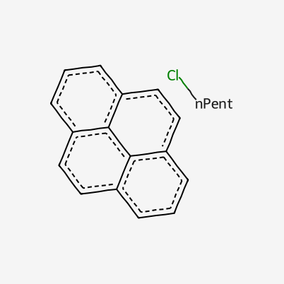 CCCCCCl.c1cc2ccc3cccc4ccc(c1)c2c34